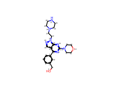 OCc1cccc(-c2nc(N3CCOCC3)nc3c2cnn3CCN2CCNCC2)c1